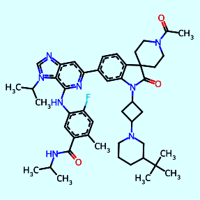 CC(=O)N1CCC2(CC1)C(=O)N(C1CC(N3CCCC(C(C)(C)C)C3)C1)c1cc(-c3cc4ncn(C(C)C)c4c(Nc4cc(C(=O)NC(C)C)c(C)cc4F)n3)ccc12